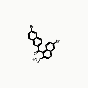 O=C(O)c1ccc2cc(Br)ccc2c1C(=O)c1ccc2cc(Br)ccc2c1